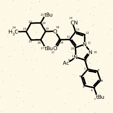 CC(=O)n1c(-c2ccc(C(C)(C)C)cc2)nn2cc(C#N)c(C(=O)OC3C(C(C)(C)C)CC(C)CC3C(C)(C)C)c12